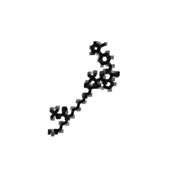 Cc1ncsc1-c1ccc(CNC(=O)C2CCCN2C(=O)C(NC(=O)COCCCCCN(CCCN)C(=O)OC(C)(C)C)C(C)(C)C)cc1